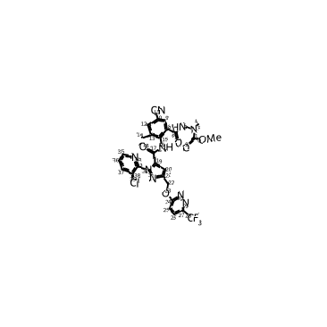 COC(=O)N(C)NC(=O)c1cc(C#N)cc(C)c1NC(=O)c1cc(COc2ccc(C(F)(F)F)nn2)nn1-c1ncccc1Cl